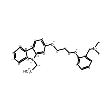 CN(C)Cc1ccccc1OCCCOc1ccc2c3ccccc3n(CC(=O)O)c2c1